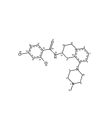 CN1CCN(c2cccc3c2CC(NC(=O)c2ccc(Cl)cc2Cl)CC3)CC1